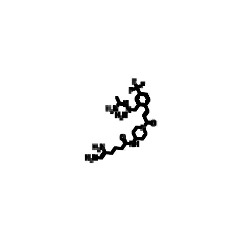 C/C(N)=N/N(N)Cc1cc(C(F)(F)F)ccc1/C=C/C(=O)N1CCC(NC(=O)CCC/C(N)=C/N)CC1